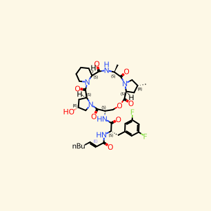 CCCC/C=C/C(=O)N[C@@H](Cc1cc(F)cc(F)c1)C(=O)N[C@H]1COC(=O)[C@@H]2C[C@@H](C)CN2C(=O)[C@H](C)NC(=O)[C@@H]2CCCCN2C(=O)[C@@H]2C[C@@H](O)CN2C1=O